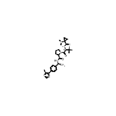 Cc1ncsc1-c1ccc(C(N)NC(=O)C2CCCN2C(=O)[C@@H](NC(=O)C2(N(C)C)CC2)C(C)(C)C)cc1